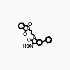 O=C1C2=CCCC=C2C(=O)N1CCCN1C(=O)/C(=N\O)c2ccc(-c3ccccc3)cc21